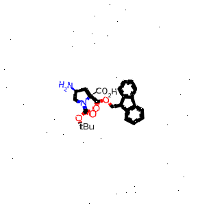 CC(C)(C)OC(=O)N1C[C@@H](N)C[C@@]1(C(=O)O)C(=O)OCC1c2ccccc2-c2ccccc21